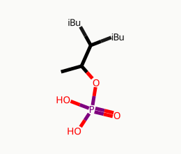 CCC(C)C(C(C)CC)C(C)OP(=O)(O)O